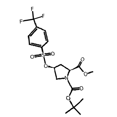 COC(=O)[C@@H]1C[C@H](OS(=O)(=O)c2ccc(C(F)(F)F)cc2)CN1C(=O)OC(C)(C)C